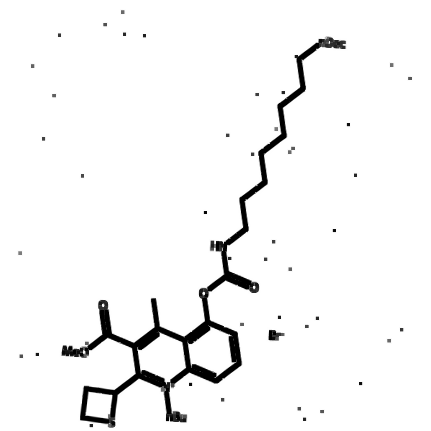 CCCCCCCCCCCCCCCCCCNC(=O)Oc1cccc2c1c(C)c(C(=O)OC)c(C1CCS1)[n+]2CCCC.[Br-]